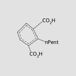 CCCCCc1c(C(=O)O)cccc1C(=O)O